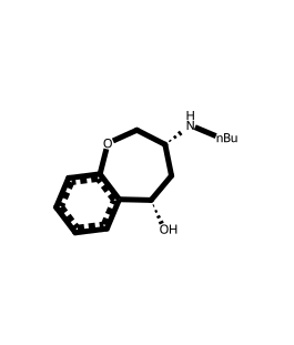 CCCCN[C@H]1COc2ccccc2[C@@H](O)C1